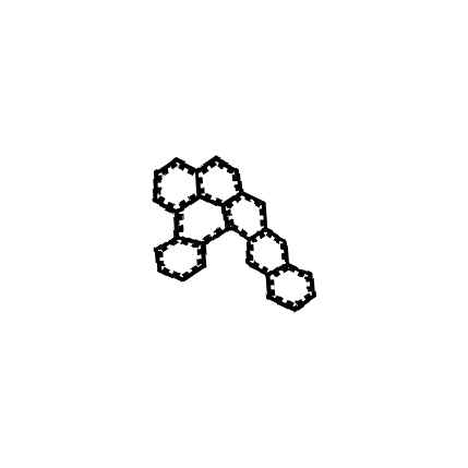 c1ccc2cc3c(cc2c1)cc1ccc2cccc4c5ccccc5c3c1c24